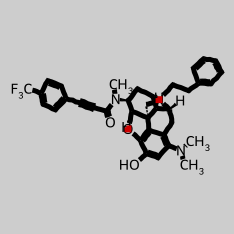 CN(C)c1cc(O)c2c3c1C[C@@H]1[C@@H]4CC[C@H](N(C)C(=O)C#Cc5ccc(C(F)(F)F)cc5)[C@H](O2)[C@]34CCN1CCc1ccccc1